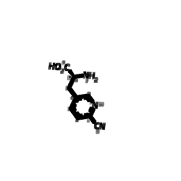 N#Cc1ccc(C[C@H](N)C(=O)O)cn1